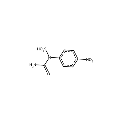 NC(=O)N(c1ccc([N+](=O)[O-])cc1)S(=O)(=O)O